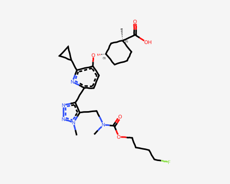 CN(Cc1c(-c2ccc(O[C@H]3CCC[C@](C)(C(=O)O)C3)c(C3CC3)n2)nnn1C)C(=O)OCCCCF